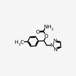 Cc1ccc(C(Cn2nccn2)OC(N)=O)cc1